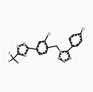 FC(F)(F)c1nc(-c2ccc(Cn3nnnc3-c3ccc(Cl)cc3)c(Cl)c2)no1